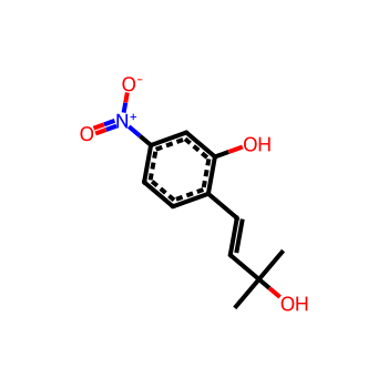 CC(C)(O)C=Cc1ccc([N+](=O)[O-])cc1O